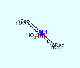 CCCCCCCCCCCCCCCCCCCCNCCCCCCCCCCCCCCCCCCCC.CCCCCCCCCCCCCCCCCCCCNCCCCCCCCCCCCCCCCCCCC.O=S(=O)(O)O